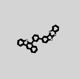 c1cc(-c2ccc3oc4nc5ccccc5nc4c3c2)cc(-c2c3ccccc3cc3c2oc2ccccc23)c1